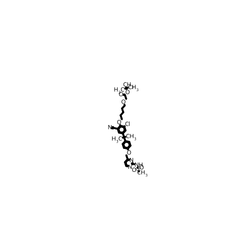 CC(C)(C)OC(=O)COCCCCCOc1c(Cl)cc(C(C)(C)c2ccc(OCc3ccnc(NS(C)(=O)=O)n3)cc2)cc1C#N